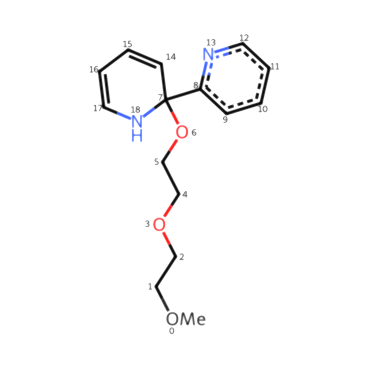 COCCOCCOC1(c2ccccn2)C=CC=CN1